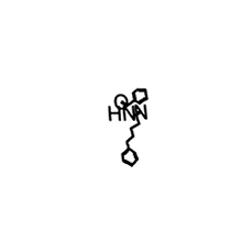 O=c1[nH]c(CCCCc2ccccc2)nc2ccccc12